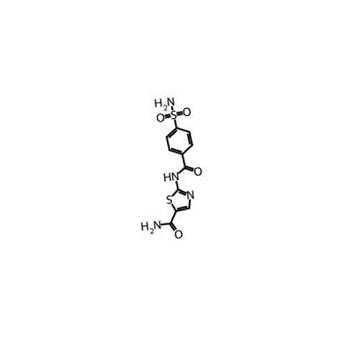 NC(=O)c1cnc(NC(=O)c2ccc(S(N)(=O)=O)cc2)s1